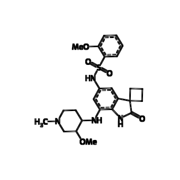 COc1ccccc1S(=O)(=O)Nc1cc(NC2CCN(C)CC2OC)c2c(c1)C1(CCC1)C(=O)N2